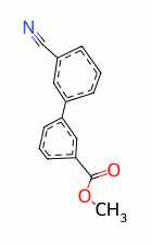 COC(=O)c1cccc(-c2cccc(C#N)c2)c1